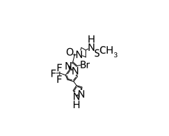 CSNC1CN(C(=O)c2nc3c(C(F)(F)F)cc(-c4cn[nH]c4)cn3c2Br)C1